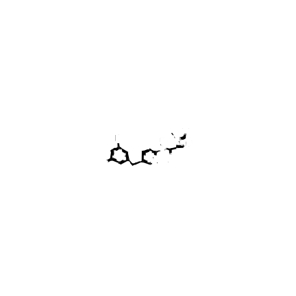 Cn1c(C(=O)Nc2ccc(Cc3cc(F)cc(F)c3)cn2)coc1=O